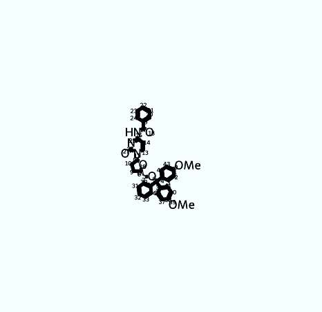 COc1ccc(C(OC[C@@H]2CC[C@H](n3ccc(NC(=O)c4ccccc4)nc3=O)O2)(c2ccccc2)c2ccc(OC)cc2)cc1